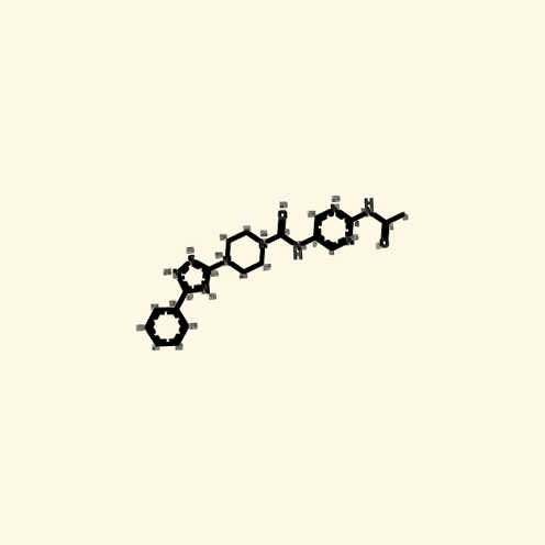 CC(=O)Nc1ncc(NC(=O)N2CCN(c3nc(-c4ccccc4)ns3)CC2)cn1